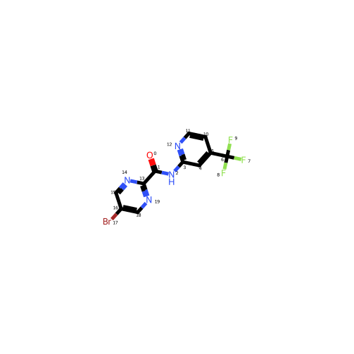 O=C(Nc1cc(C(F)(F)F)ccn1)c1ncc(Br)cn1